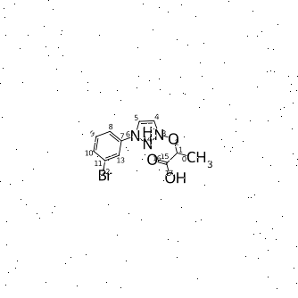 CC(ON1C=CN(c2cccc(Br)c2)N1)C(=O)O